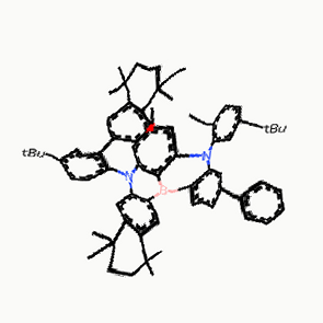 Cc1cc2c3c(c1)N(c1ccc(C(C)(C)C)cc1-c1ccc4c(c1)C(C)(C)CCC4(C)C)c1cc4c(cc1B3c1ccc(-c3ccccc3)cc1N2c1cc(C(C)(C)C)ccc1C)C(C)(C)CCC4(C)C